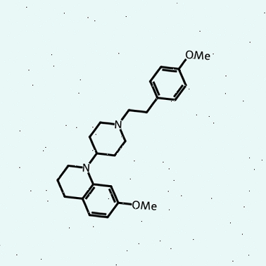 COc1ccc(CCN2CCC(N3CCCc4ccc(OC)cc43)CC2)cc1